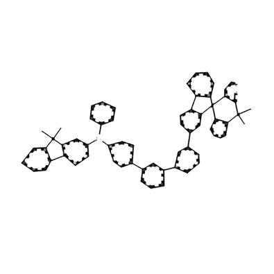 CC1(C)c2ccccc2-c2ccc(N(c3ccccc3)c3ccc(-c4cccc(-c5cccc(-c6ccc7c(c6)C6(c8ccccc8-7)c7ccccc7C(C)(C)c7ccccc76)c5)c4)cc3)cc21